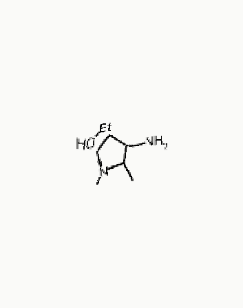 CC1C(N)CCN1C.CCO